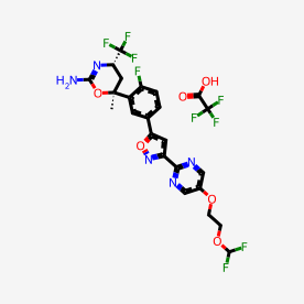 C[C@@]1(c2cc(-c3cc(-c4ncc(OCCOC(F)F)cn4)no3)ccc2F)C[C@@H](C(F)(F)F)N=C(N)O1.O=C(O)C(F)(F)F